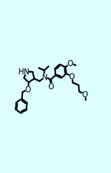 COCCCOc1cc(C(=O)N(CC2CNCC2OCc2ccccc2)C(C)C)ccc1OC